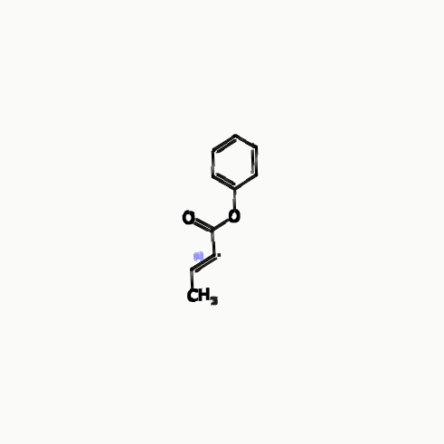 C/C=[C]/C(=O)Oc1ccccc1